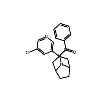 N#CC1(c2cncc(Cl)c2)CC2CCC(C1)N2OC(=O)c1ccccc1